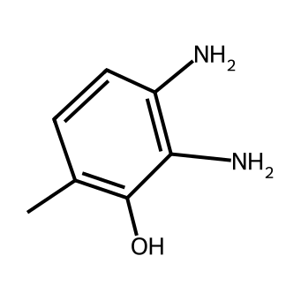 Cc1ccc(N)c(N)c1O